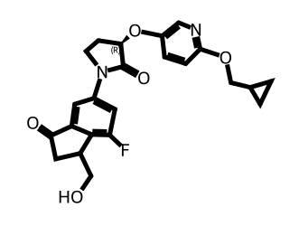 O=C1CC(CO)c2c(F)cc(N3CC[C@@H](Oc4ccc(OCC5CC5)nc4)C3=O)cc21